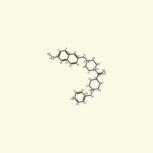 COc1ccc2cc(CN3CCN(C(=O)C4CCN(Cc5ccncc5)CC4)CC3)ccc2c1